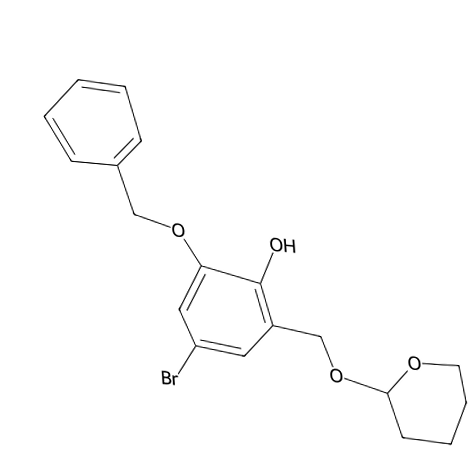 Oc1c(COC2CCCCO2)cc(Br)cc1OCc1ccccc1